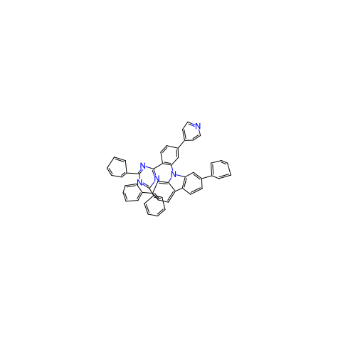 c1ccc(-c2ccc3c4ccc(-c5ccccc5)cc4n(-c4cc(-c5ccncc5)ccc4-c4nc(-c5ccccc5)nc(-c5ccccc5)n4)c3c2)cc1